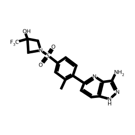 Cc1cc(S(=O)(=O)N2CC(O)(C(F)(F)F)C2)ccc1-c1ccc2[nH]nc(N)c2n1